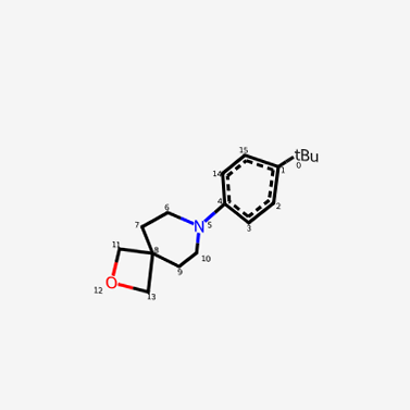 CC(C)(C)c1ccc(N2CCC3(CC2)COC3)cc1